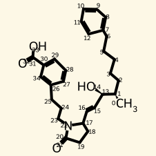 C[C@@H](CCCCCc1ccccc1)[C@H](O)C=CC1CCC(=O)N1CCCc1cccc(C(=O)O)c1